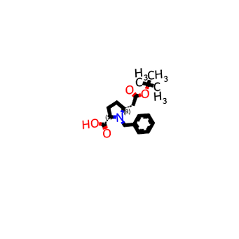 CC(C)(C)OC(=O)C[C@H]1CC[C@@H](C(=O)O)N1Cc1ccccc1